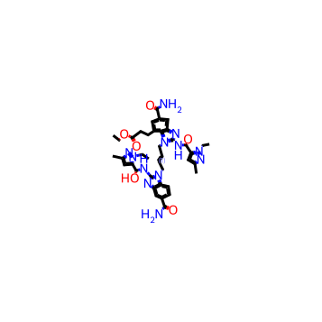 CCOC(=O)CCc1cc(C(N)=O)cc2nc(NC(=O)c3cc(C)nn3CC)n(C/C=C/Cn3c(NC(O)c4cc(C)nn4CC)nc4cc(C(N)=O)ccc43)c12